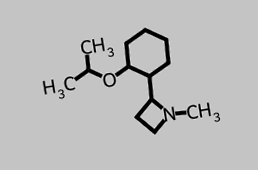 CC(C)OC1CCCCC1C1CCN1C